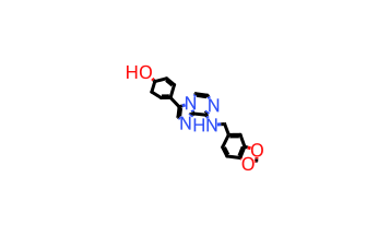 OC1C=CC(c2cnc3c(NCc4ccc5c(c4)OCO5)nccn23)=CC1